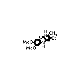 CCc1cc(Nc2ccc(OC)c(OC)c2)c(=O)[nH]c1C